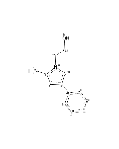 Nc1cc(-c2ccccc2)nn1CCO